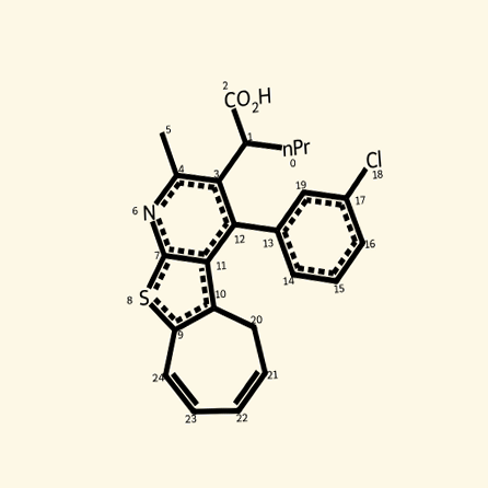 CCCC(C(=O)O)c1c(C)nc2sc3c(c2c1-c1cccc(Cl)c1)CC=CC=C3